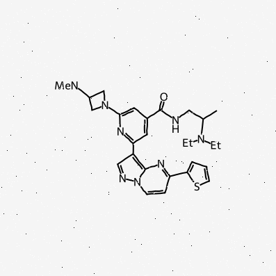 CCN(CC)C(C)CNC(=O)c1cc(-c2cnn3ccc(-c4cccs4)nc23)nc(N2CC(NC)C2)c1